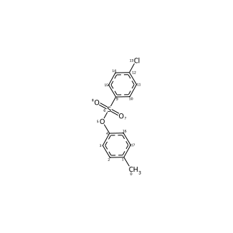 Cc1ccc(OS(=O)(=O)c2ccc(Cl)cc2)cc1